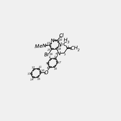 C=C(C)CN(c1ccc(Oc2ccccc2)cc1)c1nc(Cl)nc(NC)c1Br